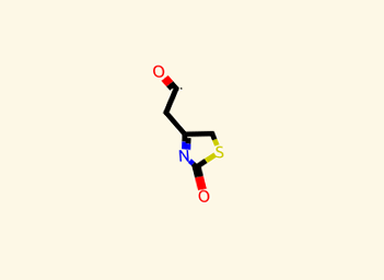 O=[C]CC1=NC(=O)SC1